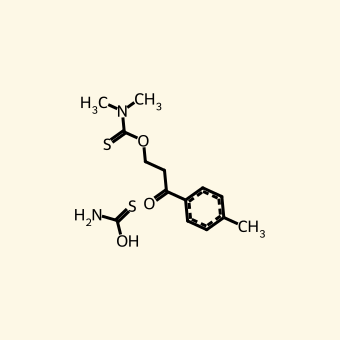 Cc1ccc(C(=O)CCOC(=S)N(C)C)cc1.NC(O)=S